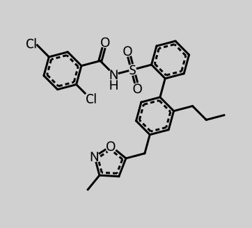 CCCc1cc(Cc2cc(C)no2)ccc1-c1ccccc1S(=O)(=O)NC(=O)c1cc(Cl)ccc1Cl